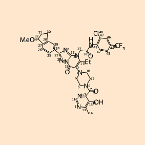 CCc1c(N2CCN(C(=O)c3ncnc(C)c3O)CC2)c(=O)n2nc(-c3ccc4c(c3)CCC4OC)nc2n1CC(=O)Nc1ccc(C(F)(F)F)cc1Cl